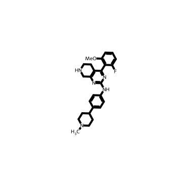 COc1cccc(F)c1-c1nc(Nc2ccc(C3CCN(C)CC3)cc2)nc2c1CCNC2